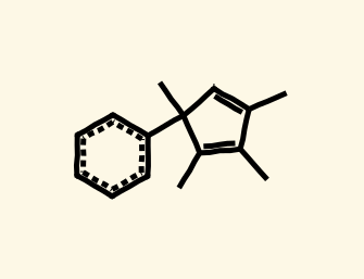 CC1=[C]C(C)(c2ccccc2)C(C)=C1C